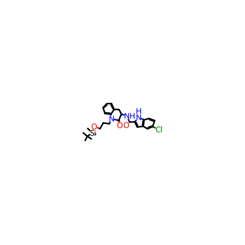 CC(C)(C)[Si](C)(C)OCCCN1C(=O)C(NC(=O)c2cc3cc(Cl)ccc3[nH]2)Cc2ccccc21